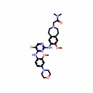 COc1cc2c(cc1Nc1ncc(F)c(Nc3ccc(N4CCOCC4)cc3OC)n1)CCN(CC(=O)N(C)C)CC2